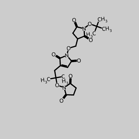 CC(C)(C)ON1C(=O)CC(CON2C(=O)C=C(CC(C)(C)ON3C(=O)CCC3=O)C2=O)C1=O